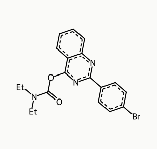 CCN(CC)C(=O)Oc1nc(-c2ccc(Br)cc2)nc2ccccc12